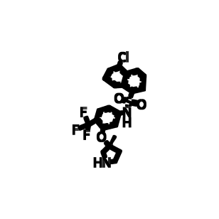 C[C@@]1(Oc2cc(NS(=O)(=O)c3cccc4c(Cl)cccc34)ccc2C(F)(F)F)CCNC1